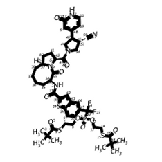 CC(C)(C)C(=O)SCCOP(=O)(OCCSC(=O)C(C)(C)C)C(F)(F)c1ccc2sc(C(=O)N[C@H]3CCCC[C@H]4CC[C@@H](C(=O)N5CC(c6cc[nH]c(=O)c6)[C@H](C#N)C5)N4C3=O)cc2c1